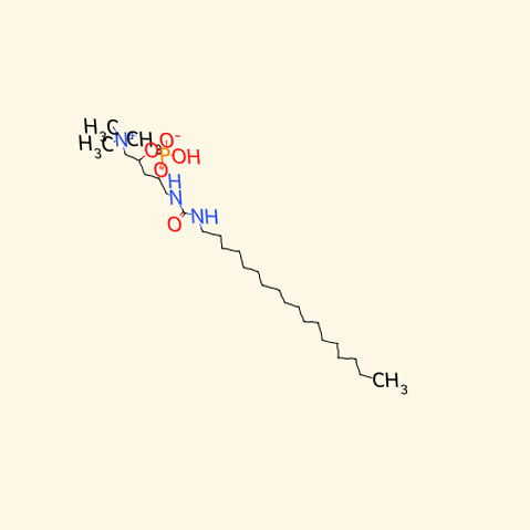 CCCCCCCCCCCCCCCCCCNC(=O)NCCCC(C[N+](C)(C)C)OP(=O)([O-])O